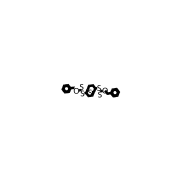 S=C(OCc1ccccc1)SC1CCC2SC1CCC2SC(=S)OCc1ccccc1